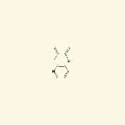 C=C(C)C(=S)S.c1ccncc1